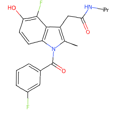 Cc1c(CC(=O)NC(C)C)c2c(F)c(O)ccc2n1C(=O)c1cccc(F)c1